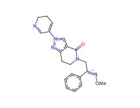 CO/N=C(/CN1CCc2nn(C3=CCCN=C3)cc2C1=O)c1ccccc1